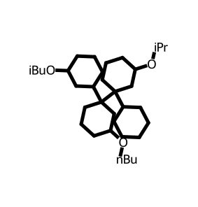 CCCCOC1CCCC([C]2CCCC(OCC(C)C)C2)(C2(C3CCCCC3)CCCC(OC(C)C)C2)C1